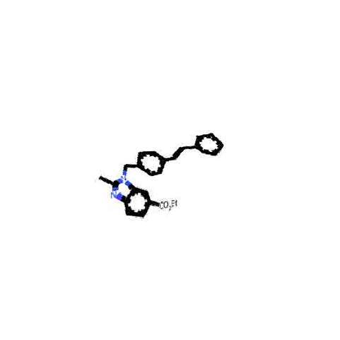 CCOC(=O)c1ccc2nc(C)n(Cc3ccc(/C=C/c4ccccc4)cc3)c2c1